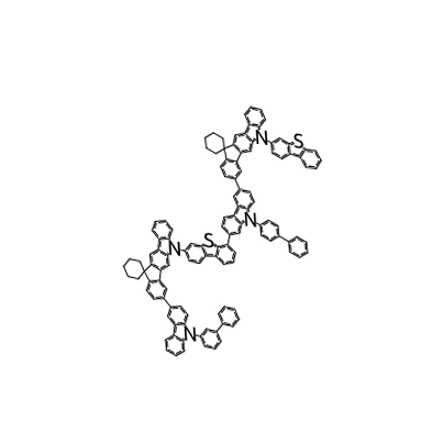 c1ccc(-c2ccc(-n3c4ccc(-c5ccc6c(c5)-c5cc7c(cc5C65CCCCC5)c5ccccc5n7-c5ccc6c(c5)sc5ccccc56)cc4c4ccc(-c5cccc6c5sc5cc(-n7c8ccccc8c8cc9c(cc87)-c7cc(-c8ccc%10c(c8)c8ccccc8n%10-c8cccc(-c%10ccccc%10)c8)ccc7C97CCCCC7)ccc56)cc43)cc2)cc1